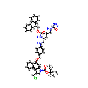 CC(C)(C)OC(=O)N1CC(CCl)c2c1cc(OCc1ccc(NC[C@@H](CCCNC(N)=O)NC(=O)OCC3c4ccccc4-c4ccccc43)cc1)c1ccccc21